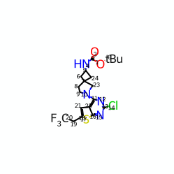 CC(C)(C)OC(=O)NC1CC2(CCN(c3nc(Cl)nc4sc(CC(F)(F)F)cc34)C2)C1